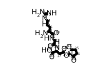 N=C(N)NCCCC(N)C(=O)NCC(=O)NC(CC(=O)ON1C(=O)CCC1=O)C(=O)O